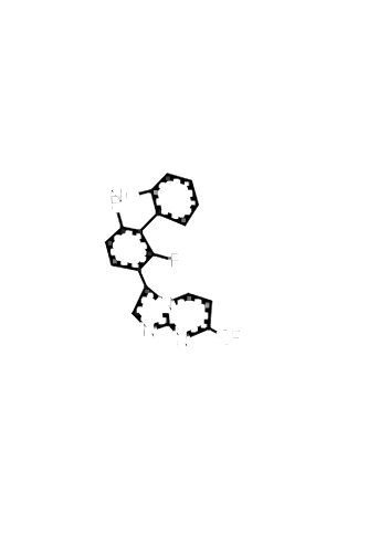 N#Cc1ccccc1-c1c(F)ccc(-c2cnc3nc(C(F)(F)F)ccn23)c1F